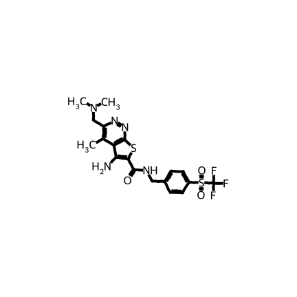 Cc1c(CN(C)C)nnc2sc(C(=O)NCc3ccc(S(=O)(=O)C(F)(F)F)cc3)c(N)c12